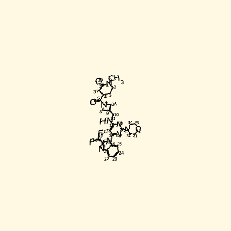 CN1CCC(C(=O)N2CC(CNc3cc(-n4c(C(F)F)nc5ccccc54)nc(N4CCOCC4)n3)C2)CC1=O